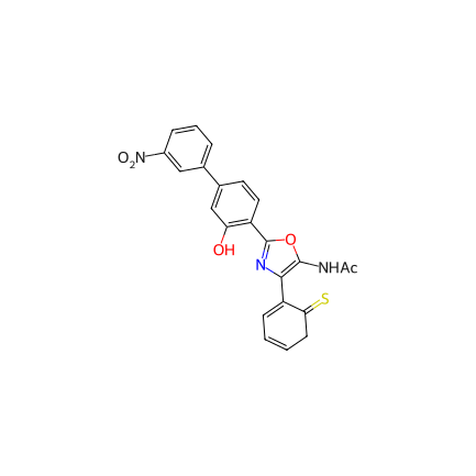 CC(=O)Nc1oc(-c2ccc(-c3cccc([N+](=O)[O-])c3)cc2O)nc1C1=CC=CCC1=S